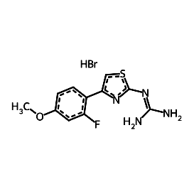 Br.COc1ccc(-c2csc(N=C(N)N)n2)c(F)c1